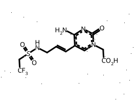 Nc1nc(=O)n(CC(=O)O)cc1/C=C/CNS(=O)(=O)CC(F)(F)F